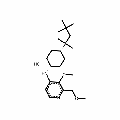 COCc1nccc(N[C@H]2CC[C@@H](C(C)(C)CC(C)(C)C)CC2)c1OC.Cl